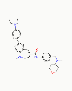 CCN(CC)c1ccc(-c2ccc3c(c2)C=C(C(=O)Nc2ccc(CN(C)C4CCOCC4)cc2)CCN3C)cc1